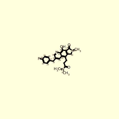 CN(C)C(=O)CCc1c2c(c(O)c3ncc(Cc4ccc(F)cc4)cc13)C(=O)N(C)C2